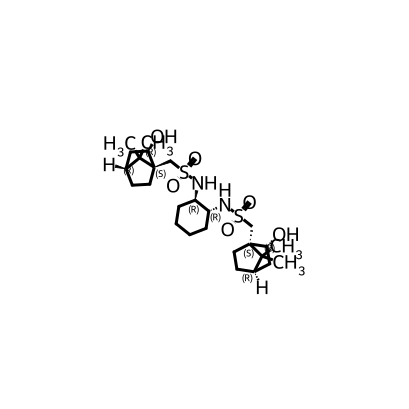 CC1(C)[C@@H]2CC[C@@]1(CS(=O)(=O)N[C@@H]1CCCC[C@H]1NS(=O)(=O)C[C@]13CC[C@H](C[C@H]1O)C3(C)C)[C@H](O)C2